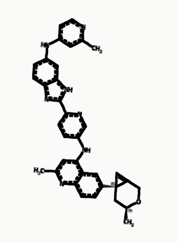 Cc1cc(Nc2ccc3nc(-c4ccc(Nc5cc(C)nc6ccc([C@]78C=C7CO[C@@H](C)C8)cc56)cn4)[nH]c3c2)ccn1